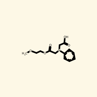 COCCOC(=O)CN(CC(=O)O)c1ccccc1